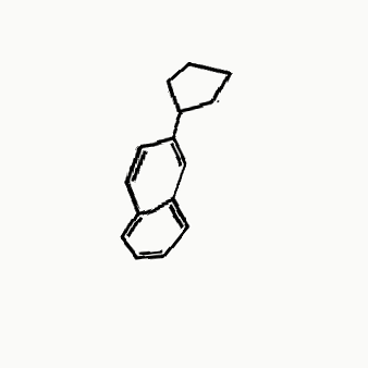 [CH]1CCCC1c1ccc2ccccc2c1